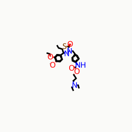 CCOc1cc(C2=NN(Cc3ccc(NC(=O)OCCCN(CC)CC)cc3)C(=O)SC2CC)ccc1OC